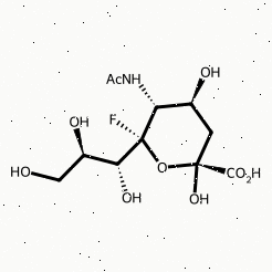 CC(=O)N[C@@H]1[C@@H](O)C[C@@](O)(C(=O)O)O[C@@]1(F)[C@H](O)[C@H](O)CO